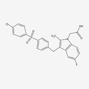 Cc1c(Cc2ccc(S(=O)(=O)c3ccc(Cl)cc3)cc2)c2cc(F)ccc2n1CC(=O)O